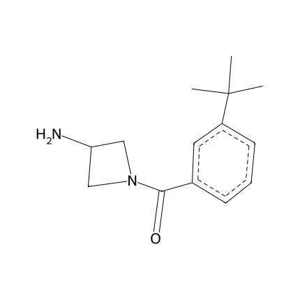 CC(C)(C)c1cccc(C(=O)N2CC(N)C2)c1